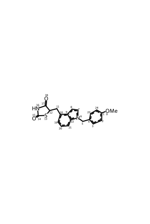 COc1ccc(Cn2ccc3c(CC4SC(=O)NC4=O)cccc32)cc1